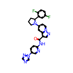 O=C(Nc1ccc(-n2cncn2)cn1)c1cnn2ccc(N3CCCC3c3cc(F)ccc3F)cc12